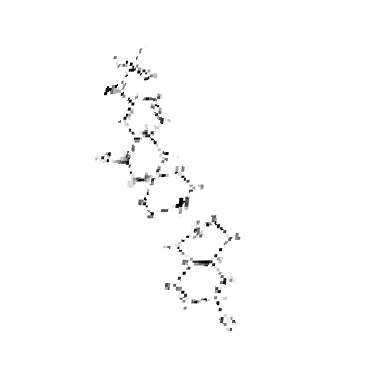 CS(=O)(=O)Nc1ccc2c(c1)C(=O)CC1(CCN([C@@H]3CCc4cc(C#N)ccc4C3)CC1)O2